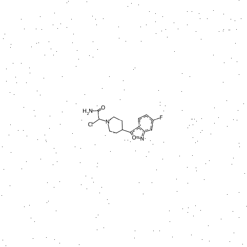 NC(=O)C(Cl)N1CCC(c2onc3cc(F)ccc23)CC1